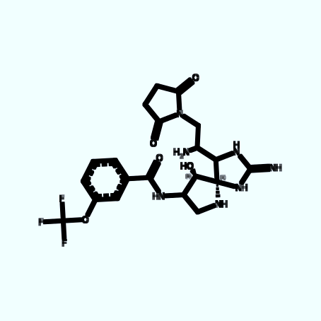 N=C1NC(C(N)CN2C(=O)CCC2=O)[C@@]2(NCC(NC(=O)c3cccc(OC(F)(F)F)c3)[C@H]2O)N1